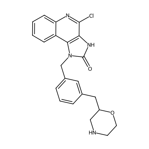 O=c1[nH]c2c(Cl)nc3ccccc3c2n1Cc1cccc(CC2CNCCO2)c1